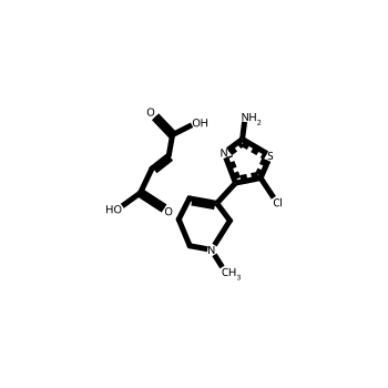 CN1CCC=C(c2nc(N)sc2Cl)C1.O=C(O)/C=C/C(=O)O